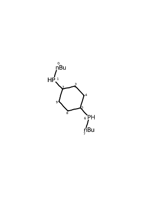 CCCCPC1[CH]CC(PCCCC)CC1